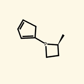 C[C@H]1CCP1C1=CC=CC1